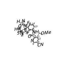 COCc1cc(C#N)cnc1C(=O)Nc1ccc(F)c([C@@]2(C(F)F)N=C(N)O[C@@H]3S[C@@H]32)c1